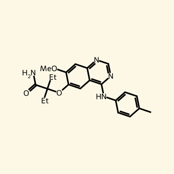 CCC(CC)(Oc1cc2c(Nc3ccc(C)cc3)ncnc2cc1OC)C(N)=O